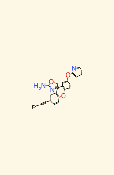 NC1=N[C@@]2(CO1)c1cc(C#CC3CC3)ccc1Oc1ccc(Oc3ccccn3)cc12